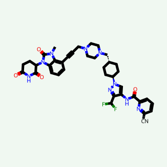 Cn1c(=O)n(C2CCC(=O)NC2=O)c2cccc(C#CCN3CCN(C[C@H]4CC[C@H](n5cc(NC(=O)c6cccc(C#N)n6)c(C(F)F)n5)CC4)CC3)c21